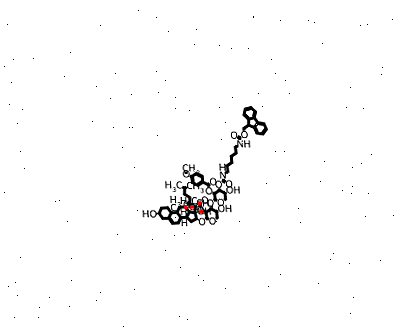 COc1ccc(C(=O)OC2C(OC3C(O)COC(O[C@H]4C[C@H]5[C@@H]6CC=C7C[C@@H](O)CC[C@]7(C)C6CC[C@]5(C)[C@@]4(O)[C@H](C)C(=O)CCC(C)C)C3OC(C)=O)OCC(O)C2OC(=O)NCCCCCCNC(=O)OCC2c3ccccc3-c3ccccc32)cc1